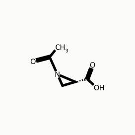 CC(=O)N1C[C@H]1C(=O)O